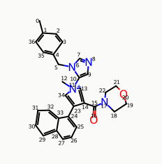 Cc1ccc(Cn2cncc2[N+]2(C)C=C(C(=O)N3CCOCC3)C(c3cccc4ccccc34)=C2)cc1